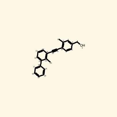 Cc1cc(CO)ccc1C#Cc1cccc(-c2ccccc2)c1C